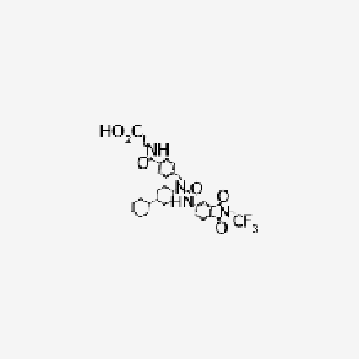 O=C(O)CCNC(=O)c1ccc(CN(C(=O)Nc2ccc3c(c2)C(=O)N(CC(F)(F)F)C3=O)C2CCC(C3CCCCC3)CC2)cc1